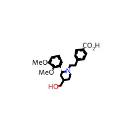 COc1cccc([C@H]2CC(CO)CCN2CCc2ccc(C(=O)O)cc2)c1OC